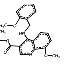 CCOC(=O)c1cnc2c(OC)cccc2c1NCc1ccccc1OC